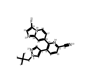 CC(C)(C)Cn1cc(-c2ccc(C#N)nc2-c2ccn3c(F)cnc3c2)cn1